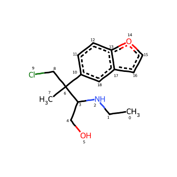 CCNC(CO)C(C)(CCl)c1ccc2occc2c1